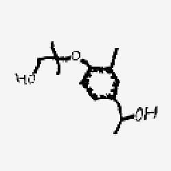 Cc1cc(C(C)O)ccc1OC(C)(C)CO